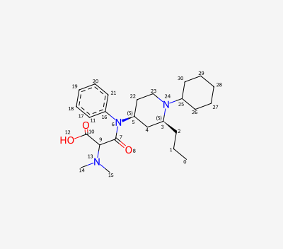 CCC[C@H]1C[C@@H](N(C(=O)C(C(=O)O)N(C)C)c2ccccc2)CCN1C1CCCCC1